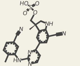 Cc1ccc(C#N)cc1Nc1nccc(-c2cc(C#N)c3c(c2)[C@](C)(COS(=O)(=O)O)CN3)n1